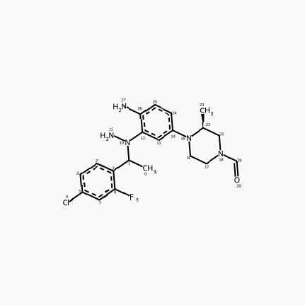 CC(c1ccc(Cl)cc1F)N(N)c1cc(N2CCN(C=O)C[C@@H]2C)ccc1N